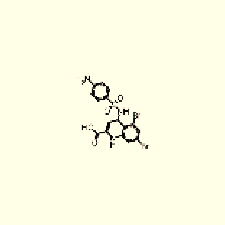 Nc1ccc(S(=O)(=O)NC2C=C(C(=O)O)Nc3cc(Br)cc(Br)c32)cc1